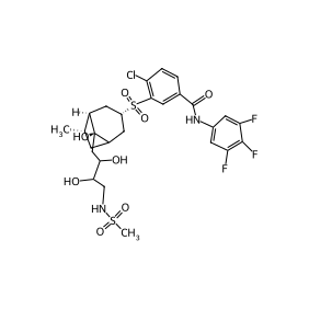 C[C@H]1CC2C[C@@H](S(=O)(=O)c3cc(C(=O)Nc4cc(F)c(F)c(F)c4)ccc3Cl)C[C@H]1[C@@]2(O)CC(O)C(O)CNS(C)(=O)=O